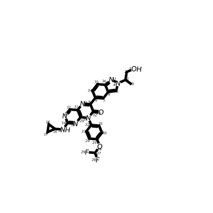 CC(CO)n1cc2cc(-c3nc4cnc(NC5CC5)nc4n(-c4ccc(OC(F)F)cc4)c3=O)ccc2n1